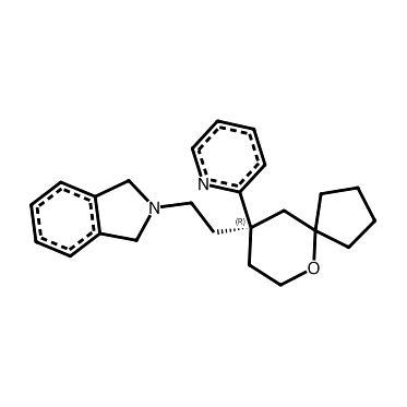 c1ccc([C@]2(CCN3Cc4ccccc4C3)CCOC3(CCCC3)C2)nc1